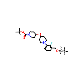 CC(C)(C)OC(=O)N1CCC(OC2CCN(c3cccc(CO[Si](C)(C)C(C)(C)C)c3F)CC2)CC1